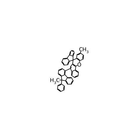 Cc1ccc2c(c1)C1(c3ccccc3-c3ccccc31)c1cc(-c3cccc4c3-c3ccccc3C4(C)c3ccccc3)c3ccccc3c1O2